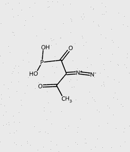 CC(=O)C(=[N+]=[N-])C(=O)P(O)O